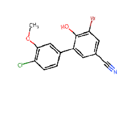 COc1cc(-c2cc(C#N)cc(Br)c2O)ccc1Cl